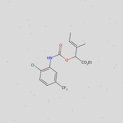 CC=C(C)C(OC(=O)Nc1cc(C(F)(F)F)ccc1Cl)C(=O)OCC